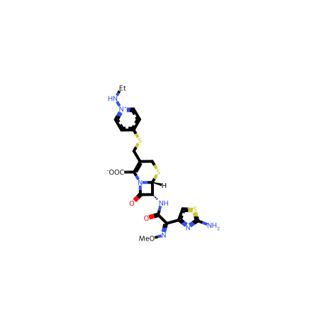 CCN[n+]1ccc(SCC2=C(C(=O)[O-])N3C(=O)[C@@H](NC(=O)/C(=N\OC)c4csc(N)n4)[C@H]3SC2)cc1